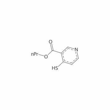 CCCOC(=O)c1cnccc1S